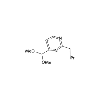 COC(OC)c1ccnc(CC(C)C)n1